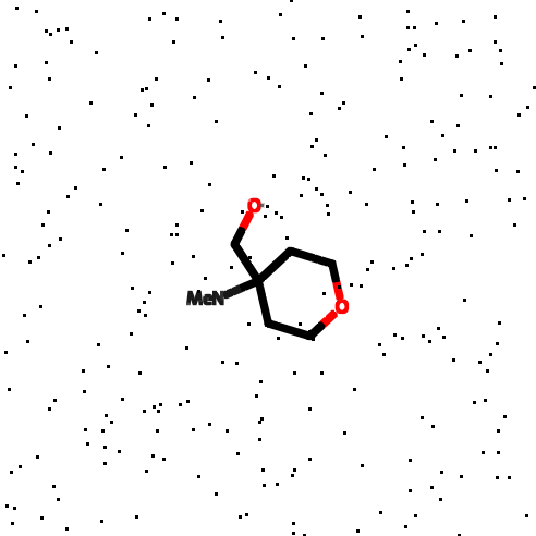 CNC1(C[O])CCOCC1